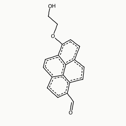 O=Cc1ccc2ccc3c(OCCO)ccc4ccc1c2c43